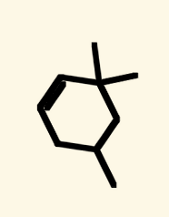 CC1CC=CC(C)(C)C1